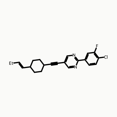 CCC=CC1CCC(C#Cc2cnc(-c3ccc(Cl)c(F)c3)nc2)CC1